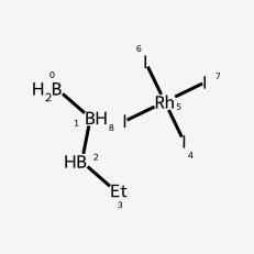 BBBCC.[I][Rh]([I])([I])[I]